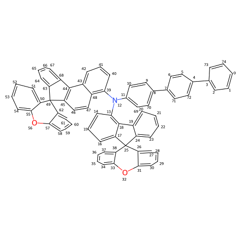 c1ccc(-c2ccc(-c3ccc(N(c4cccc5c4-c4ccccc4C54c5ccccc5Oc5ccccc54)c4cccc5c6c(ccc45)C4(c5ccccc5Oc5ccccc54)c4ccccc4-6)cc3)cc2)cc1